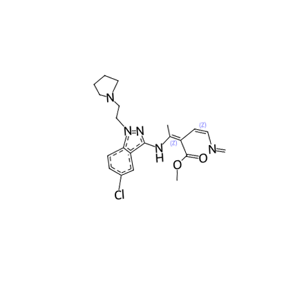 C=N/C=C\C(C(=O)OC)=C(/C)Nc1nn(CCN2CCCC2)c2ccc(Cl)cc12